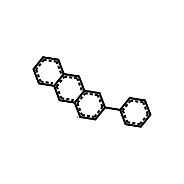 [c]1cc(-c2ccccc2)cc2cc3ccccc3cc12